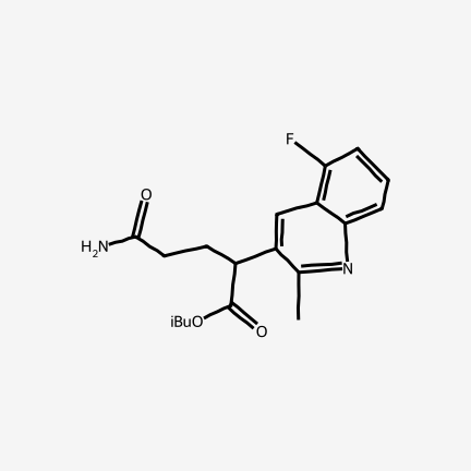 Cc1nc2cccc(F)c2cc1C(CCC(N)=O)C(=O)OCC(C)C